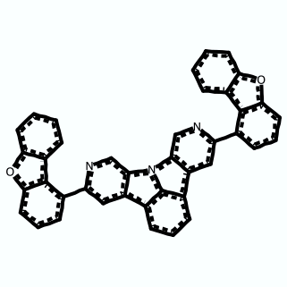 c1ccc2c(c1)oc1cccc(-c3cc4c5cccc6c7cc(-c8cccc9oc%10ccccc%10c89)ncc7n(c4cn3)c56)c12